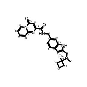 CN(Cc1cc2ccc(CNC(=O)c3cc(=O)n4ccccc4n3)cc2[nH]1)C1(F)CCC1